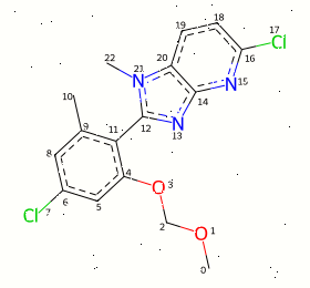 COCOc1cc(Cl)cc(C)c1-c1nc2nc(Cl)ccc2n1C